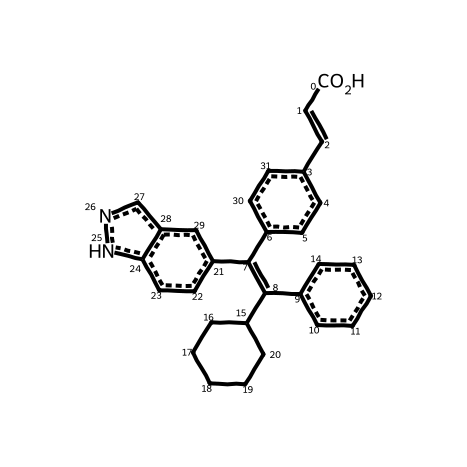 O=C(O)/C=C/c1ccc(/C(=C(\c2ccccc2)C2CCCCC2)c2ccc3[nH]ncc3c2)cc1